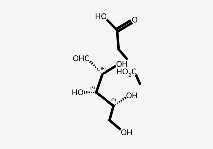 CC(=O)O.CCC(=O)O.O=C[C@H](O)[C@@H](O)[C@H](O)CO